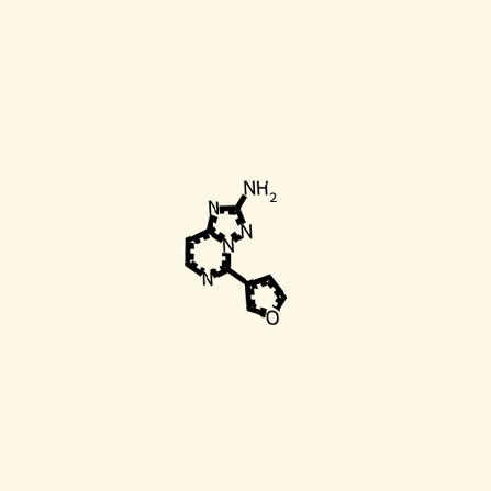 Nc1nc2ccnc(-c3ccoc3)n2n1